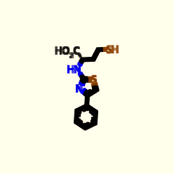 O=C(O)[C@H](CCS)Nc1nc(-c2ccccc2)cs1